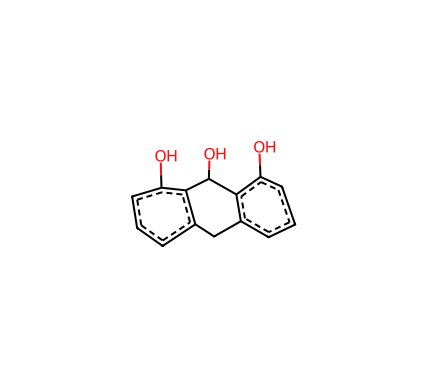 Oc1cccc2c1C(O)c1c(O)cccc1C2